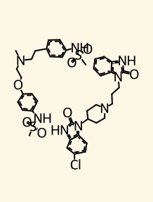 CN(CCOc1ccc(NS(C)(=O)=O)cc1)CCc1ccc(NS(C)(=O)=O)cc1.O=c1[nH]c2ccccc2n1CCCN1CCC(n2c(=O)[nH]c3cc(Cl)ccc32)CC1